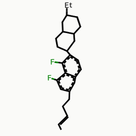 CC=CCCc1cc(F)c2c(F)c(C3CCC4CC(CC)CCC4C3)ccc2c1